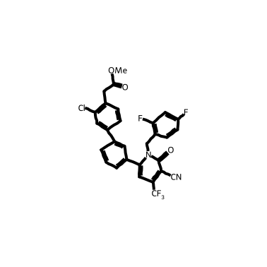 COC(=O)Cc1ccc(-c2cccc(-c3cc(C(F)(F)F)c(C#N)c(=O)n3Cc3ccc(F)cc3F)c2)cc1Cl